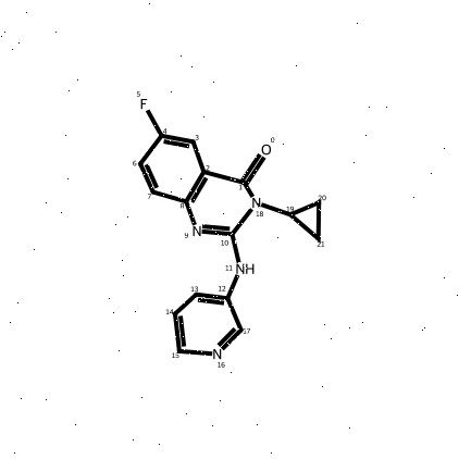 O=c1c2cc(F)ccc2nc(Nc2cccnc2)n1C1CC1